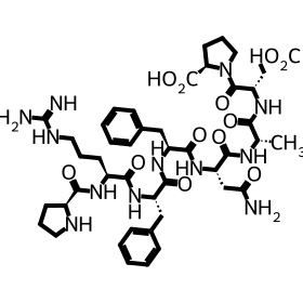 C[C@H](NC(=O)[C@H](CC(N)=O)NC(=O)[C@H](Cc1ccccc1)NC(=O)[C@H](Cc1ccccc1)NC(=O)[C@H](CCCNC(=N)N)NC(=O)[C@@H]1CCCN1)C(=O)N[C@@H](CC(=O)O)C(=O)N1CCC[C@@H]1C(=O)O